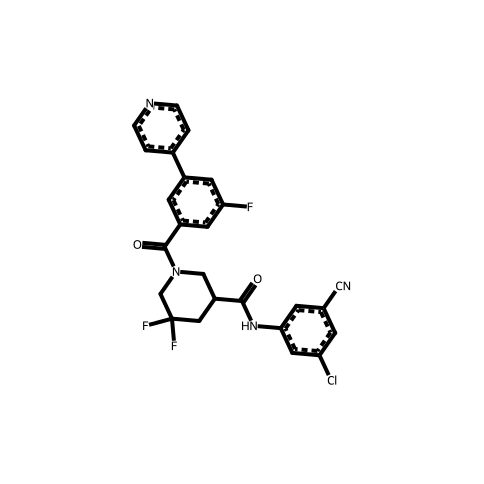 N#Cc1cc(Cl)cc(NC(=O)C2CN(C(=O)c3cc(F)cc(-c4ccncc4)c3)CC(F)(F)C2)c1